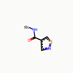 CC(C)(C)NC(=O)c1cnsc1